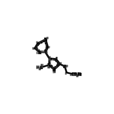 CCOC(=O)COc1cc(-c2cnccn2)n(C)n1